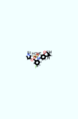 CCN1CC[C@H](OCc2cc(F)ccc2N(c2ccc3c(c2C(=O)O)OC[C@@H]2C[C@H]32)[SH](=O)=O)C1